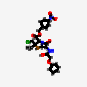 CC1(CCl)SC2C(NC(=O)COc3ccccc3)C(=O)N2C1C(=O)OCc1ccc([N+](=O)[O-])cc1